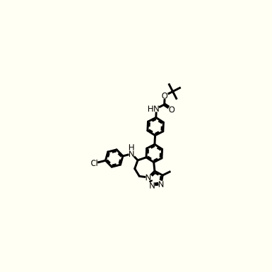 Cc1nnn2c1-c1ccc(-c3ccc(NC(=O)OC(C)(C)C)cc3)cc1C(Nc1ccc(Cl)cc1)CC2